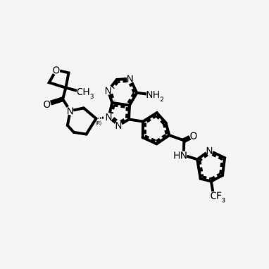 CC1(C(=O)N2CCC[C@@H](n3nc(-c4ccc(C(=O)Nc5cc(C(F)(F)F)ccn5)cc4)c4c(N)ncnc43)C2)COC1